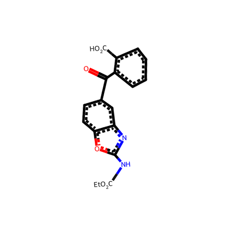 CCOC(=O)Nc1nc2cc(C(=O)c3ccccc3C(=O)O)ccc2o1